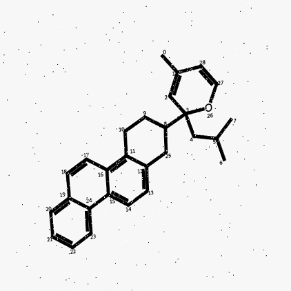 CC1=CC(CC(C)C)(C2CCc3c(ccc4c3ccc3ccccc34)C2)OC=C1